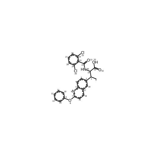 CC(c1ccc2nc(Oc3ccccc3)ccc2c1)C(NC(=O)c1c(Cl)cccc1Cl)C(=O)O